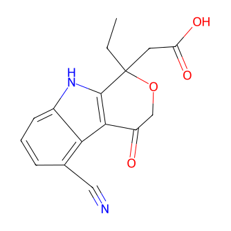 CCC1(CC(=O)O)OCC(=O)c2c1[nH]c1cccc(C#N)c21